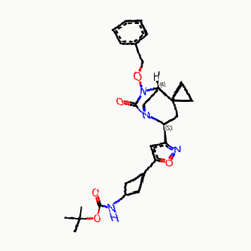 CC(C)(C)OC(=O)NC1CC(c2cc([C@@H]3CC4(CC4)[C@@H]4CN3C(=O)N4OCc3ccccc3)no2)C1